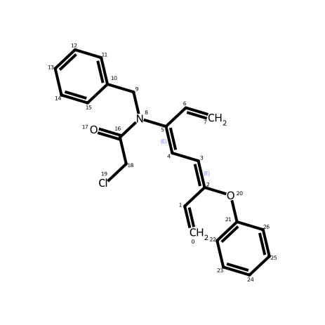 C=C/C(=C\C=C(/C=C)N(Cc1ccccc1)C(=O)CCl)Oc1ccccc1